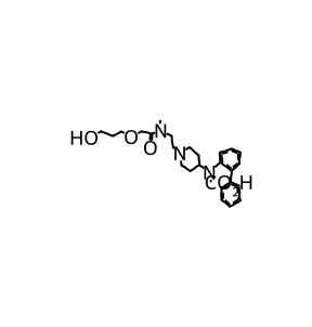 CN(CCN1CCC(N(C(=O)O)c2ccccc2-c2ccccc2)CC1)C(=O)COCCCO